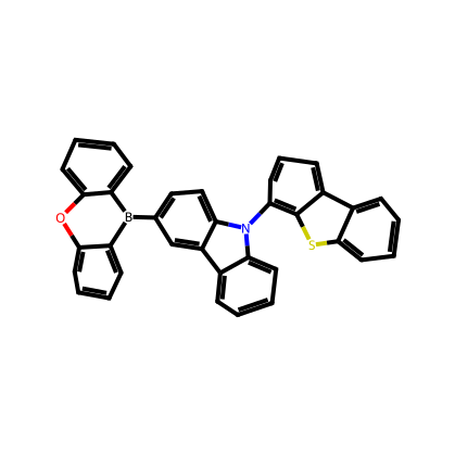 c1ccc2c(c1)Oc1ccccc1B2c1ccc2c(c1)c1ccccc1n2-c1cccc2c1sc1ccccc12